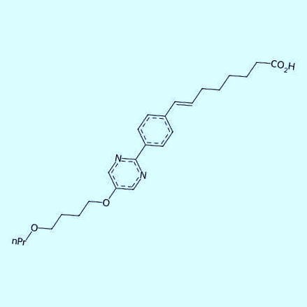 CCCOCCCCOc1cnc(-c2ccc(C=CCCCCCC(=O)O)cc2)nc1